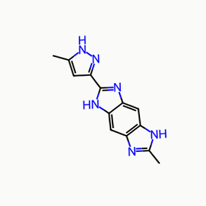 Cc1cc(-c2nc3cc4[nH]c(C)nc4cc3[nH]2)n[nH]1